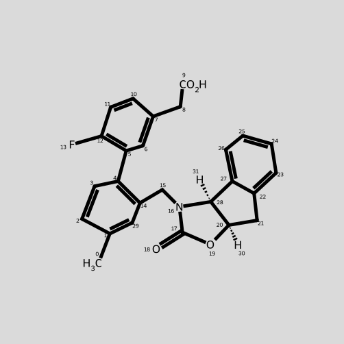 Cc1ccc(-c2cc(CC(=O)O)ccc2F)c(CN2C(=O)O[C@@H]3Cc4ccccc4[C@@H]32)c1